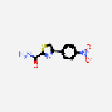 NC(=O)c1nc(-c2ccc([N+](=O)[O-])cc2)cs1